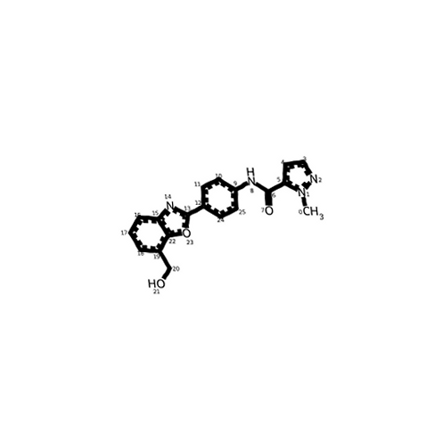 Cn1nccc1C(=O)Nc1ccc(-c2nc3cccc(CO)c3o2)cc1